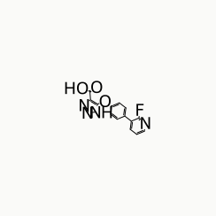 O=C(O)c1nn[nH]c1Oc1ccc(-c2cccnc2F)cc1